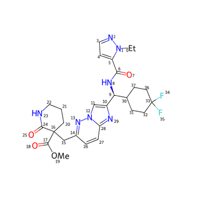 CCn1nccc1C(=O)N[C@H](c1cn2nc(CC3(C(=O)OC)CCCNC3=O)ccc2n1)C1CCC(F)(F)CC1